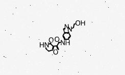 O=C(Nc1ccc2c(cnn2CCO)c1)c1coc2c1C(=O)NCC2